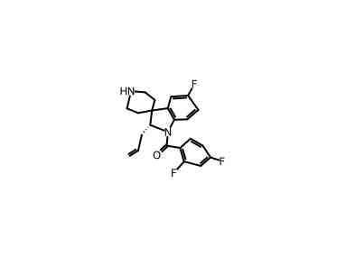 C=CC[C@H]1N(C(=O)c2ccc(F)cc2F)c2ccc(F)cc2C12CCNCC2